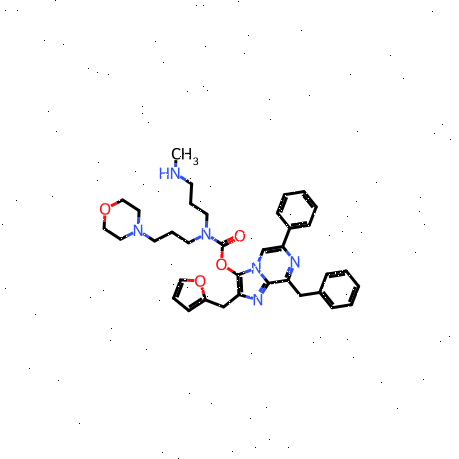 CNCCCN(CCCN1CCOCC1)C(=O)Oc1c(Cc2ccco2)nc2c(Cc3ccccc3)nc(-c3ccccc3)cn12